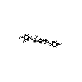 N#Cc1ccc(OCC(=O)NC23CC(NC(=O)COc4ccc(Cl)c(F)c4)(C2)C3)nc1